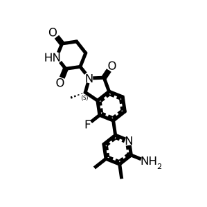 Cc1cc(-c2ccc3c(c2F)[C@H](C)N(C2CCC(=O)NC2=O)C3=O)nc(N)c1C